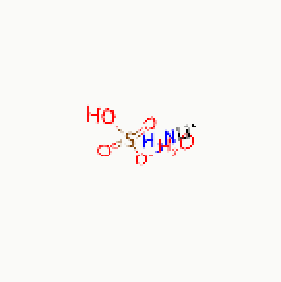 N.O.O=S(=O)([O-])O.[Li+]